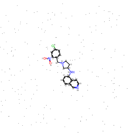 O=[N+]([O-])c1cc(Cl)ccc1CN1CCC(Nc2cccc3cnccc23)C1